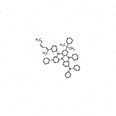 C=C/C=C\C=C(/C)c1cccc(N2c3cc(-c4ccccc4)ccc3B3c4ccc(N(c5ccccc5)c5ccccc5)cc4N(c4ccccc4)c4cc(C(C)(C)c5ccccc5)cc2c43)c1